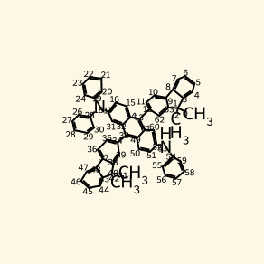 CC1(C)c2ccccc2-c2ccc(-c3c4ccc(N(c5ccccc5)c5ccccc5)cc4c(-c4ccc5c(c4)C(C)(C)c4ccccc4-5)c4ccc(Nc5ccccc5)cc34)cc21